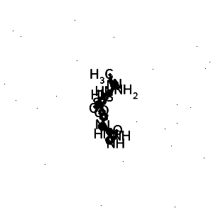 CCCc1cnc(N)c(CNC(=S)Nc2ccc3c(c2)sc(=O)n3C2Oc3ccc(-c4nccc(-c5cc6c([nH]5)[C@]5(CCCNC5)CNC6=O)n4)cc3O2)n1